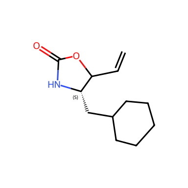 C=CC1OC(=O)N[C@H]1CC1CCCCC1